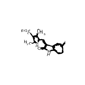 CCOC(=O)c1c(C)[nH]c(C=C2C(=O)Nc3ccc(I)cc32)c1C